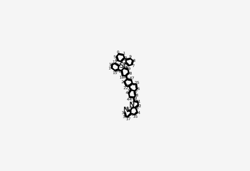 c1ccc([Si]2(c3ccccc3)c3ccccc3-c3cc(-c4ccc5c(ccc6cc(-c7ccc8ccc9cccnc9c8n7)ccc65)c4)ccc32)cc1